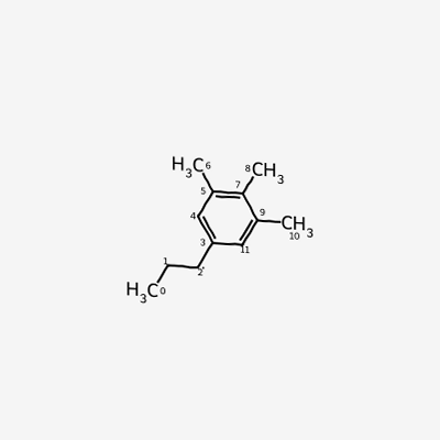 CC[CH]c1cc(C)c(C)c(C)c1